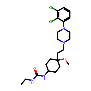 CCNC(=O)NC1CCC(CCN2CCN(c3cccc(Cl)c3Cl)CC2)(OC)CC1